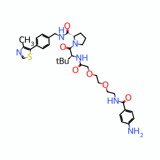 Cc1ncsc1-c1ccc(CNC(=O)[C@@H]2CCCN2C(=O)[C@@H](NC(=O)COCCOCCNC(=O)c2ccc(N)cc2)C(C)(C)C)cc1